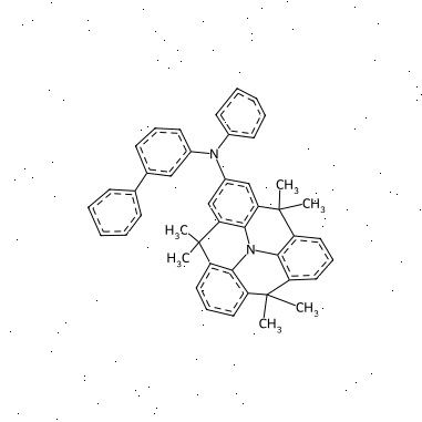 CC1(C)c2cccc3c2N2c4c1cccc4C(C)(C)c1cc(N(c4ccccc4)c4cccc(-c5ccccc5)c4)cc(c12)C3(C)C